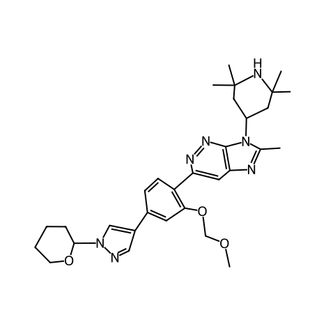 COCOc1cc(-c2cnn(C3CCCCO3)c2)ccc1-c1cc2nc(C)n(C3CC(C)(C)NC(C)(C)C3)c2nn1